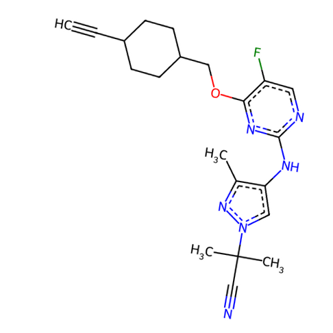 C#CC1CCC(COc2nc(Nc3cn(C(C)(C)C#N)nc3C)ncc2F)CC1